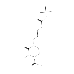 CC1C(=O)N(CCCCC(=O)OC(C)(C)C)CCN1C(=O)O